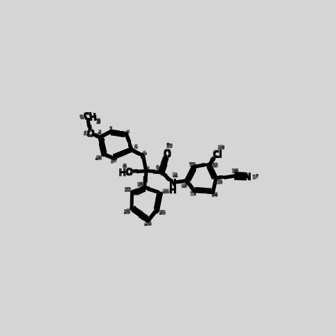 COc1ccc(CC(O)(C(=O)Nc2ccc(C#N)c(Cl)c2)c2ccccc2)cc1